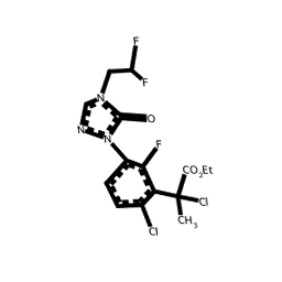 CCOC(=O)C(C)(Cl)c1c(Cl)ccc(-n2ncn(CC(F)F)c2=O)c1F